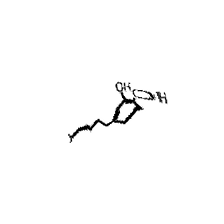 Oc1ccc(CCCCI)cc1O